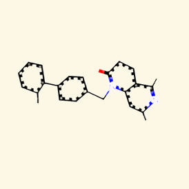 CCc1cc2c(ccc(=O)n2Cc2ccc(-c3ccccc3C(=O)O)cc2)c(CC)n1